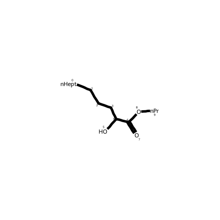 CCCCCCCCCCC(O)C(=O)OCCC